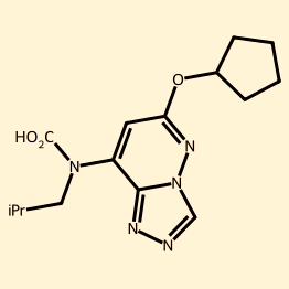 CC(C)CN(C(=O)O)c1cc(OC2CCCC2)nn2cnnc12